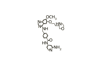 COc1cc2ncnc(NCc3ccc(C(=O)Nc4ccnc(N)c4)cc3)c2cc1OCCCC1COCCN1